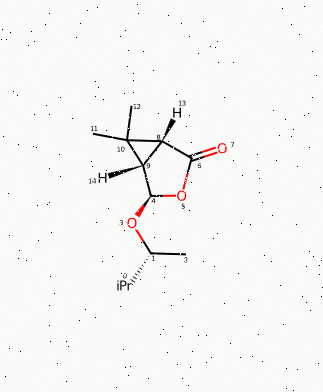 CC(C)[C@@H](C)O[C@@H]1OC(=O)[C@@H]2[C@H]1C2(C)C